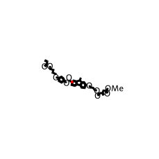 C=CC(=O)OCCCCOc1ccc(OC(=O)c2ccc3c(c2)C(C)c2cc(OCCCOC(=O)C(=C)CC(=O)OC)ccc2-3)cc1